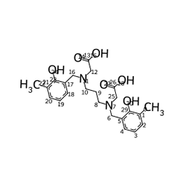 Cc1cccc(CN(CCCN(CC(=O)O)Cc2cccc(C)c2O)CC(=O)O)c1O